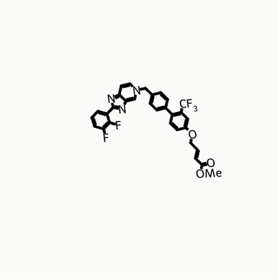 COC(=O)/C=C/COc1ccc(-c2ccc(Cn3ccc4nc(-c5cccc(F)c5F)nc-4c3)cc2)c(C(F)(F)F)c1